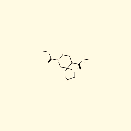 COC(=O)N1CCC(C(=O)NO)C2(C1)OCCO2